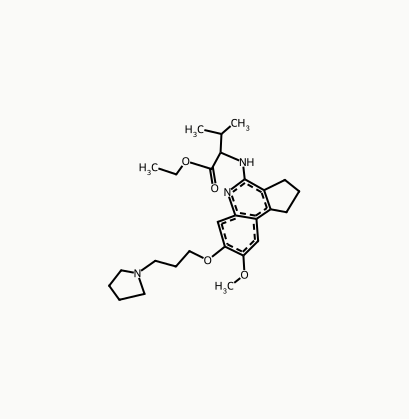 CCOC(=O)C(Nc1nc2cc(OCCCN3CCCC3)c(OC)cc2c2c1CCC2)C(C)C